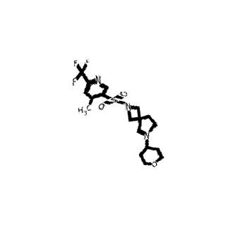 Cc1cc(C(F)(F)F)ncc1S(=O)(=O)N1CC2(CCN(C3CCOCC3)C2)C1